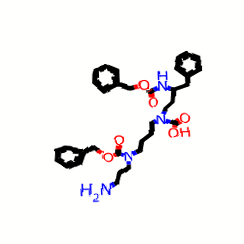 NCCCN(CCCCN(CCC(Cc1ccccc1)NC(=O)OCc1ccccc1)C(=O)O)C(=O)OCc1ccccc1